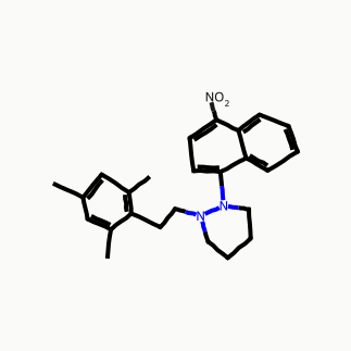 Cc1cc(C)c(CCN2CCCCN2c2ccc([N+](=O)[O-])c3ccccc23)c(C)c1